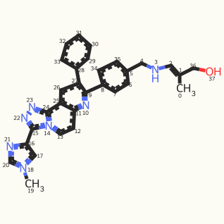 C/C(=C\NCc1ccc(-c2nc3ccn4c(-c5cn(C)cn5)nnc4c3cc2-c2ccccc2)cc1)CO